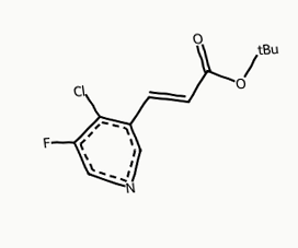 CC(C)(C)OC(=O)/C=C/c1cncc(F)c1Cl